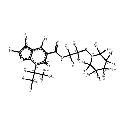 [2H]c1sc2c(c1[2H])c(O)c(C(=O)NC([2H])([2H])C([2H])([2H])CN1C([2H])([2H])C([2H])([2H])C([2H])([2H])C([2H])([2H])C1([2H])[2H])c(=O)n2C([2H])(C([2H])([2H])[2H])C([2H])([2H])[2H]